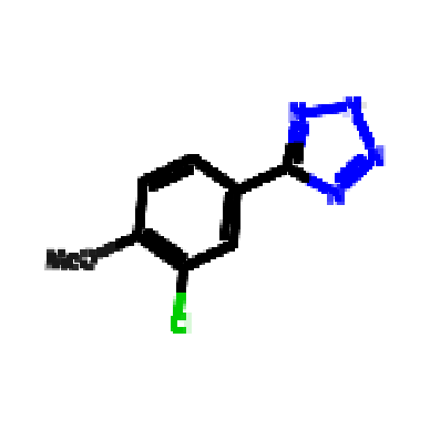 COc1ccc(C2=N[N]N=N2)cc1Cl